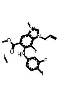 C=CCn1c[n+](C)c2cc(C(=O)OC)c(Nc3ccc(I)c(F)c3)c(F)c21.CI